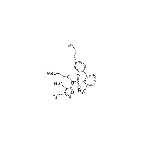 COCCON(c1onc(C)c1C)S(=O)(=O)c1c(C)cccc1-c1ccc(CCC(C)C)cc1